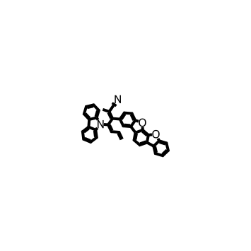 C=C/C=C(\C(=C(/C)C#N)c1ccc2oc3c(ccc4c5ccccc5oc43)c2c1)n1c2ccccc2c2ccccc21